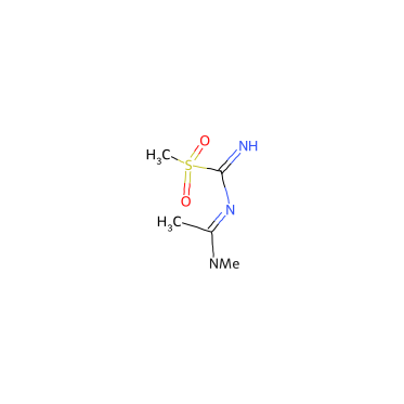 CN/C(C)=N/C(=N)S(C)(=O)=O